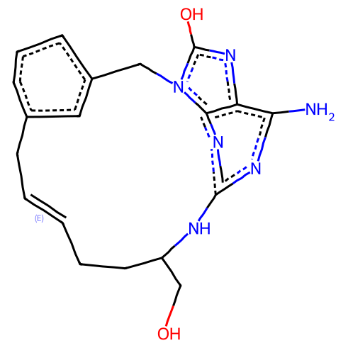 Nc1nc2nc3c1nc(O)n3Cc1cccc(c1)C/C=C/CCC(CO)N2